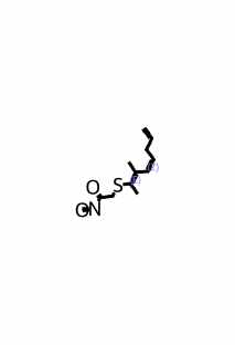 C=CC/C=C\C(C)=C(/C)SCC(=O)N=O